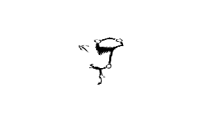 S=C([S-])OC1COCOC1.[K+]